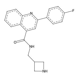 O=C(NCC1CNC1)c1cc(-c2ccc(F)cc2)nc2ccccc12